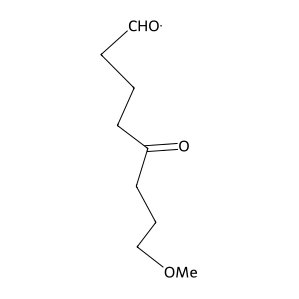 COCCCC(=O)CCC[C]=O